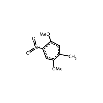 COc1cc([SH](=O)=O)c(OC)cc1C